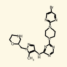 Cc1c(Nc2ncnc(N3CCN(c4ncc(Br)cn4)CC3)n2)cnn1C[C@@H]1CNCCO1